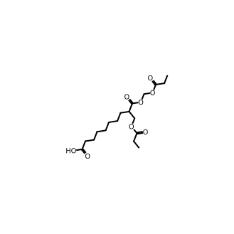 CCC(=O)OCOC(=O)C(CCCCCCCC(=O)O)COC(=O)CC